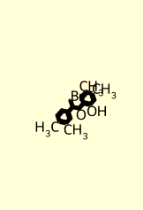 Cc1ccc(C(CBr)C(=O)c2cc(C)c(C)cc2O)cc1C